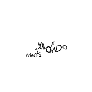 COC(=S)N(C)c1cn(-c2ccc(N3CCC(=O)CC3)c(F)c2)nn1